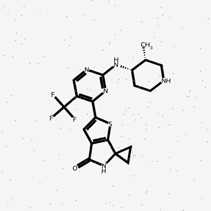 C[C@@H]1CNCC[C@@H]1Nc1ncc(C(F)(F)F)c(-c2cc3c(s2)C2(CC2)NC3=O)n1